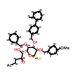 COc1ccc(CO[C@@H]2[C@@H](OCc3ccc(-c4ccccc4C)cc3)[C@@H](OCc3ccccc3)[C@@H](C(O)C(=O)CCC(C)=O)O[C@H]2S)cc1